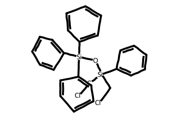 ClC[Si](CCl)(O[Si](c1ccccc1)(c1ccccc1)c1ccccc1)c1ccccc1